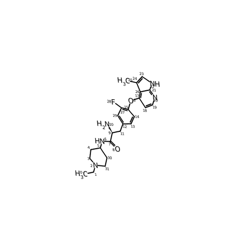 CCN1CCC(NC(=O)[C@@H](N)Cc2ccc(Oc3ccnc4[nH]cc(C)c34)c(F)c2)CC1